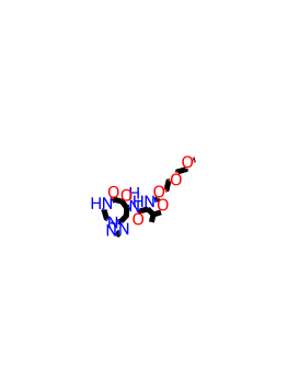 COCCOCCOC(=O)NC(C(=O)NC1Cc2ncnn2CCNC(=O)C1=O)C(C)C